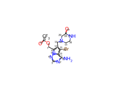 Nc1ncnn2c(COC(=O)C(F)(F)F)c(CN3CCNC(=O)C3)c(Br)c12